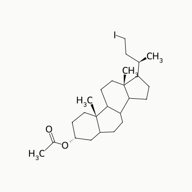 CC(=O)O[C@@H]1CC[C@@]2(C)C(CCC3C2CC[C@@]2(C)C3CCC2[C@H](C)CCI)C1